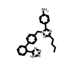 CCCCc1nc(-c2ccc(N)cc2)n(Cc2ccc(-c3ccccc3-c3nnn[nH]3)cc2)n1